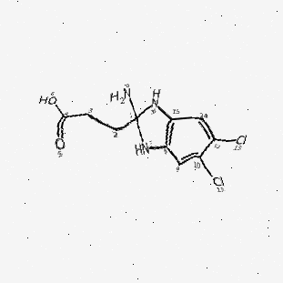 NC1(CCC(=O)O)Nc2cc(Cl)c(Cl)cc2N1